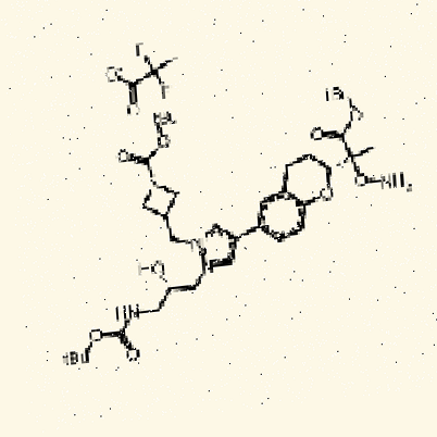 CC(C)(C)OC(=O)NC[C@H](O)Cn1cc(-c2ccc3c(c2)CC[C@H](C(C)(ON)C(=O)OC(C)(C)C)O3)c[n+]1CC1CN(C(=O)OC(C)(C)C)C1.O=C([O-])C(F)(F)F